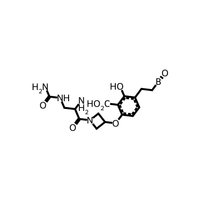 NC(=O)NCC(N)C(=O)N1CC(Oc2ccc(CCB=O)c(O)c2C(=O)O)C1